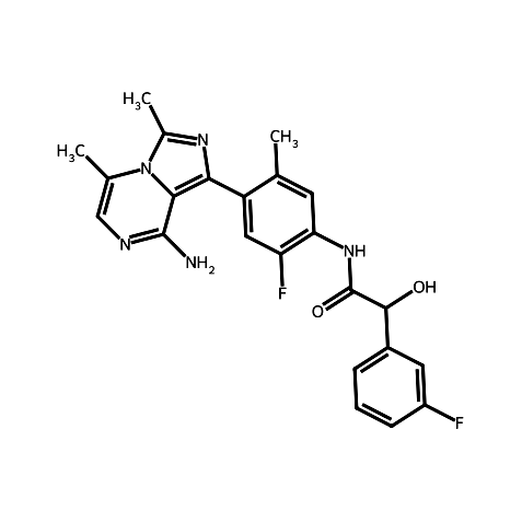 Cc1cc(NC(=O)C(O)c2cccc(F)c2)c(F)cc1-c1nc(C)n2c(C)cnc(N)c12